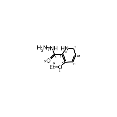 CCOC1=C(C(=O)NN)NCC=C1